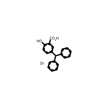 O=C(O)c1cc(C(c2ccccc2)c2ccccc2)ccc1O.[Zn]